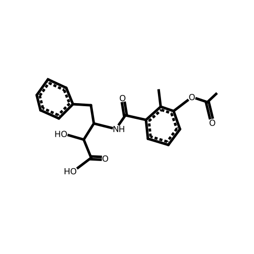 CC(=O)Oc1cccc(C(=O)NC(Cc2ccccc2)C(O)C(=O)O)c1C